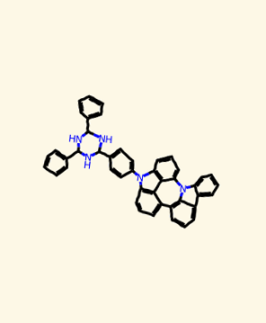 c1ccc(C2NC(c3ccccc3)NC(c3ccc(-n4c5cccc6c7cccc8c9ccccc9n(c9cccc4c9c65)c78)cc3)N2)cc1